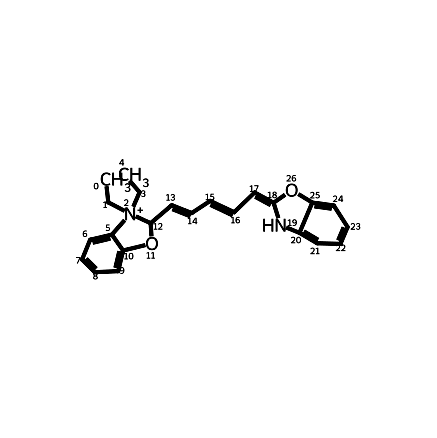 CC[N+]1(CC)c2ccccc2OC1C=CC=CC=C1Nc2ccccc2O1